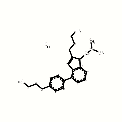 CCCCC1=Cc2c(-c3ccc(CCCC)cc3)cccc2[CH]1[Zr+2][Si](C)C.[Cl-].[Cl-]